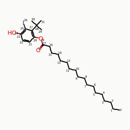 CCCCCCCCCCCCCCCCCC(=O)Oc1ccc(O)c(I)c1C(C)(C)C